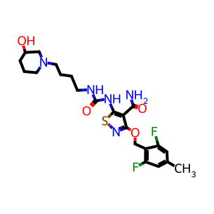 Cc1cc(F)c(COc2nsc(NC(=O)NCCCCN3CCCC(O)C3)c2C(N)=O)c(F)c1